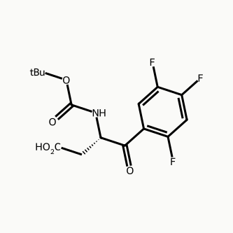 CC(C)(C)OC(=O)N[C@@H](CC(=O)O)C(=O)c1cc(F)c(F)cc1F